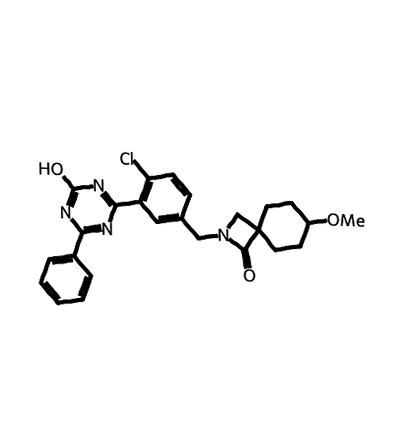 COC1CCC2(CC1)CN(Cc1ccc(Cl)c(-c3nc(O)nc(-c4ccccc4)n3)c1)C2=O